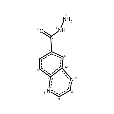 NNC(=O)c1ccc2nccnc2c1